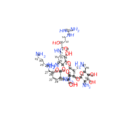 C[C@H]1[C@H](O[C@@H]2[C@@H](O)[C@H](NC(=O)C(O)CCNC(=N)N)C[C@H](N)[C@H]2O[C@H]2O[C@H](CNCCCN)C=C[C@H]2N)O[C@H](CO)[C@H]1O[C@H]1O[C@@H](CN)[C@@H](O)[C@H](O)[C@H]1N